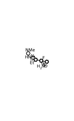 CCc1cc(-c2ccc(-c3ccccc3S(N)(=O)=O)c(F)c2)cc2cnc(NC3CCC(NC)CC3)nc12